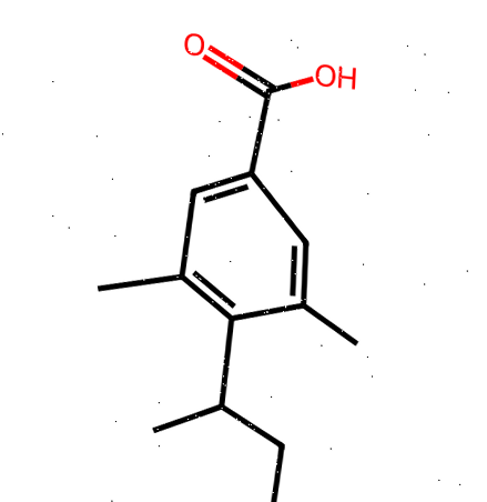 CCC(C)c1c(C)cc(C(=O)O)cc1C